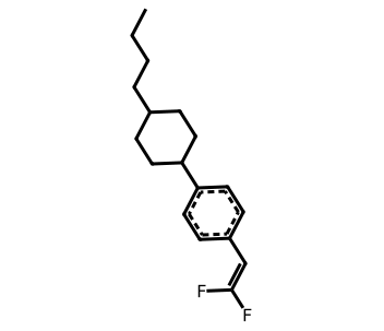 CCCCC1CCC(c2ccc(C=C(F)F)cc2)CC1